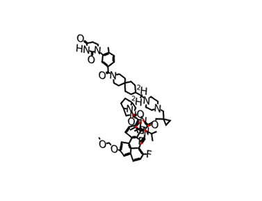 [2H]C([2H])(C1CCC2(CC1)CCN(C(=O)c1ccc(C)c(N3CCC(=O)NC3=O)c1)CC2)N1CCN(CC2(COc3nc(N4CC5CCC(C4)N5C(=O)OC(C)(C)C)c4ccc(-c5cc(OCOC)cc6ccc(F)c(C#C[Si](C(C)C)(C(C)C)C(C)C)c56)c(F)c4n3)CC2)CC1